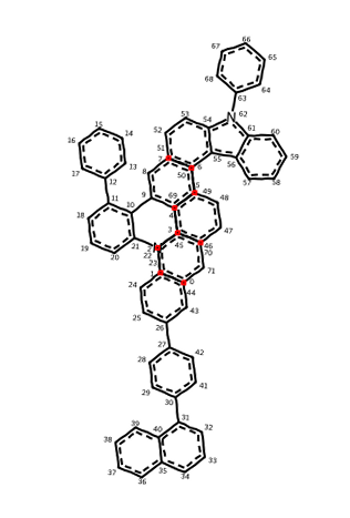 c1ccc(-c2ccccc2-c2c(-c3ccccc3)cccc2N(c2ccc(-c3ccc(-c4cccc5ccccc45)cc3)cc2)c2cccc(-c3cccc4c3c3ccccc3n4-c3ccccc3)c2)cc1